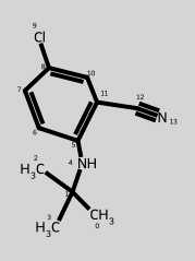 CC(C)(C)Nc1ccc(Cl)cc1C#N